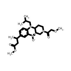 COCC(=O)N1CCC(N(CC(C)C)c2ccc(C(C)CC(=O)OC)cc2[N+](=O)[O-])CC1